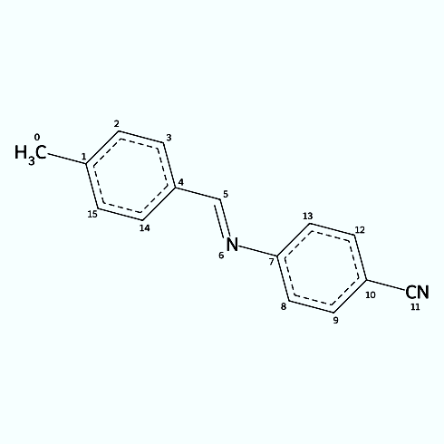 Cc1ccc(/C=N/c2ccc(C#N)cc2)cc1